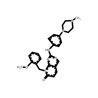 COc1ccccc1Cn1c(=O)ccc2cnc(Nc3ccc(N4CCN(C)CC4)cc3)nc21